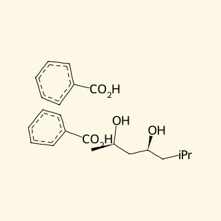 CC(C)C[C@H](O)C[C@@H](C)O.O=C(O)c1ccccc1.O=C(O)c1ccccc1